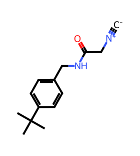 [C-]#[N+]CC(=O)NCc1ccc(C(C)(C)C)cc1